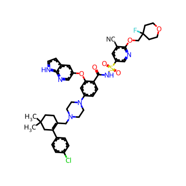 CC1(C)CCC(CN2CCN(c3ccc(C(=O)NS(=O)(=O)c4cnc(OCC5(F)CCOCC5)c(C#N)c4)c(Oc4cnc5[nH]ccc5c4)c3)CC2)=C(c2ccc(Cl)cc2)C1